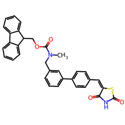 CN(Cc1cccc(-c2ccc(C=C3SC(=O)NC3=O)cc2)c1)C(=O)OCC1c2ccccc2-c2ccccc21